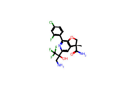 C[C@]1(C(N)=O)COc2c1cc(C(O)(CN)C(F)(F)F)nc2-c1ccc(Cl)cc1F